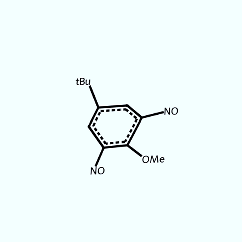 COc1c(N=O)cc(C(C)(C)C)cc1N=O